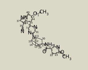 CCOc1cc(-c2cnc(N3C4CC5CC3CC(NC(=O)c3ccc(OC)nc3)(C5)C4)cn2)c2c(C#N)cnn2c1